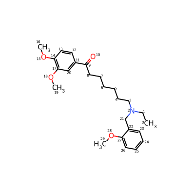 CCN(CCCCCCC(=O)c1ccc(OC)c(OC)c1)Cc1ccccc1OC